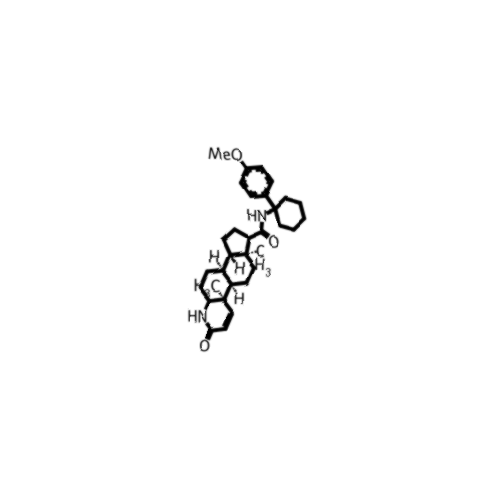 COc1ccc(C2(NC(=O)C3CC[C@H]4[C@@H]5CCC6NC(=O)C=C[C@]6(C)[C@@H]5CC[C@]34C)CCCCC2)cc1